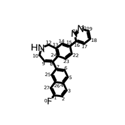 Fc1ccc2ccc(C3=CCNCc4cc(-c5cccnn5)ccc43)cc2c1